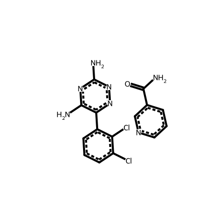 NC(=O)c1cccnc1.Nc1nnc(-c2cccc(Cl)c2Cl)c(N)n1